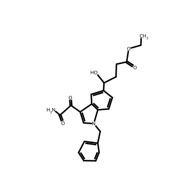 CCOC(=O)CCC(O)c1ccc2c(c1)c(C(=O)C(N)=O)cn2Cc1ccccc1